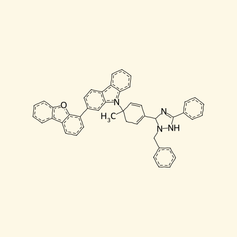 CC1(n2c3ccccc3c3ccc(-c4cccc5c4oc4ccccc45)cc32)C=CC(C2N=C(c3ccccc3)NN2Cc2ccccc2)=CC1